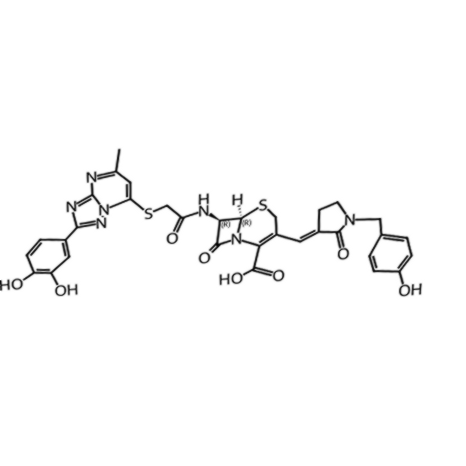 Cc1cc(SCC(=O)N[C@@H]2C(=O)N3C(C(=O)O)=C(C=C4CCN(Cc5ccc(O)cc5)C4=O)CS[C@H]23)n2nc(-c3ccc(O)c(O)c3)nc2n1